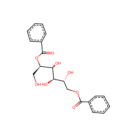 O=C(OC[C@@H](O)[C@@H](O)[C@H](O)[C@@H](CO)OC(=O)c1ccccc1)c1ccccc1